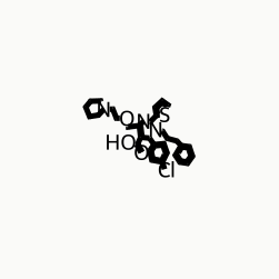 O=C(O)C1=C(COCCN2CCCCC2)N=C(c2cccs2)N(CCCc2ccccc2)C1c1ccc(Cl)cc1